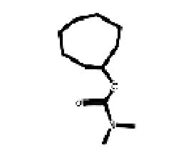 CN(C)C(=O)OC1[CH]CCCCCC1